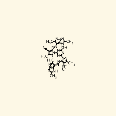 [C-]#[N+]c1c(C)nn(-c2nc(O)nc(-n3nc(C)c(C#N)c3/N=N/c3c(C)nn4nc(C)[nH]c34)n2)c1/N=N/c1c(C)nn2nc(C)[nH]c12